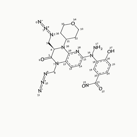 [N-]=[N+]=NC[C@@H]1C(=O)N(CN=[N+]=[N-])c2ccc(N(N)c3cc(C(=O)N=O)ccc3O)nc2N1C1CCOCC1